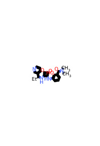 CC[C@@H](Nc1c(Nc2cccc(C(=O)N(C)C)c2O)c(=O)c1=O)c1cccnc1